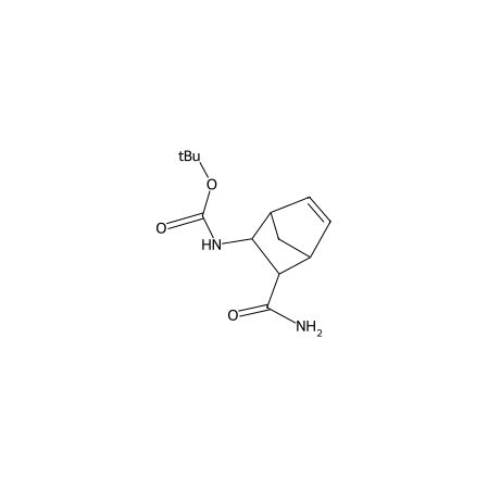 CC(C)(C)OC(=O)NC1C2C=CC(C2)C1C(N)=O